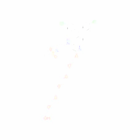 O=S(=O)(N1CCC(Nc2cc(OCCOCCOCCOCCOCCOCCO)nc3ccc(C(c4ccc(Cl)cc4)c4ccc(Cl)cc4)cc23)CC1)C(F)(F)F